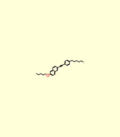 CCCCCCc1ccc(C#Cc2ccc3cc(OCCCCC)ccc3c2)cc1